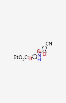 CCOC(=O)COc1ccc(NC(=O)c2occ3cc(C#N)ccc23)cc1